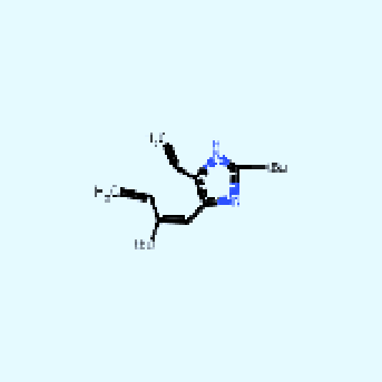 C=C/C(=C\c1nc(C(C)(C)C)[nH]c1C=C)C(C)(C)C